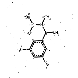 C[C@@H](c1cc(Br)cc(C(F)(F)F)c1)N(C)[S+]([O-])C(C)(C)C